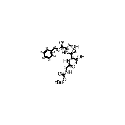 C[C@H](O)[C@H](NC(=O)CNC(=O)OC(C)(C)C)C(=O)N[C@@H](CO)C(=O)OCc1ccccc1